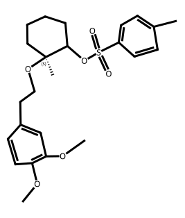 COc1ccc(CCO[C@@]2(C)CCCCC2OS(=O)(=O)c2ccc(C)cc2)cc1OC